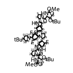 COC(=O)N[C@H](C(=O)N1CCC[C@H]1c1cc2cc([C@H]3CC[C@H](c4cc5nc([C@@H]6CCCN6C(=O)[C@@H](NC(=O)OC)[C@@H](C)OC(C)(C)C)[nH]c5cc4F)N3c3cc(F)c(N4CCC(C(C)(C)C)CC4)c(F)c3)c(F)cc2[nH]1)[C@@H](C)OC(C)(C)C